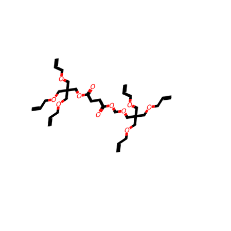 C=CCOCC(COCC=C)(COCC=C)COCOC(=O)CCC(=O)OCC(COCC=C)(COCC=C)COCC=C